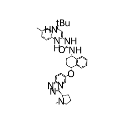 Cc1ccc(N/C(=C\C(=N)C(C)(C)C)NC(=O)N[C@H]2CC[C@@H](Oc3ccc4nnc([C@H]5CCCN5C)n4c3)c3ccccc32)cc1